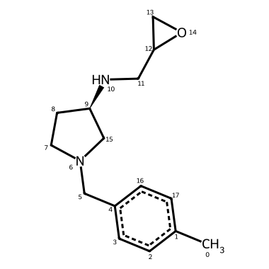 Cc1ccc(CN2CC[C@@H](NCC3CO3)C2)cc1